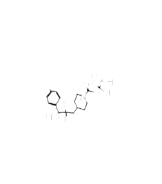 CC(C)(C)OC(=O)N1CCC(CC(F)(F)C(O)c2ccc(F)cc2)CC1